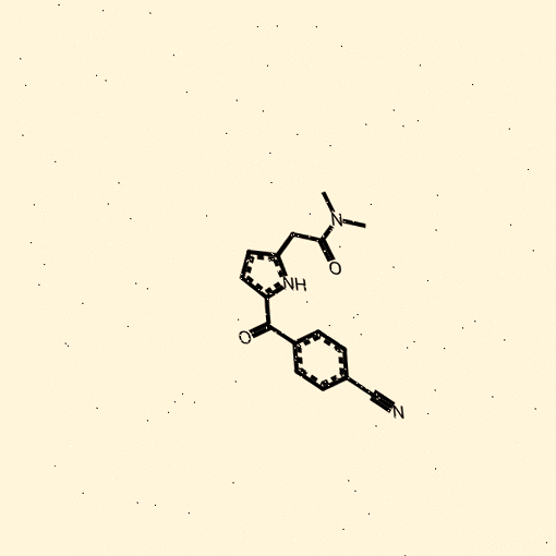 CN(C)C(=O)Cc1ccc(C(=O)c2ccc(C#N)cc2)[nH]1